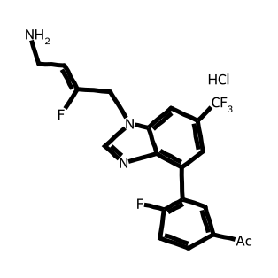 CC(=O)c1ccc(F)c(-c2cc(C(F)(F)F)cc3c2ncn3CC(F)=CCN)c1.Cl